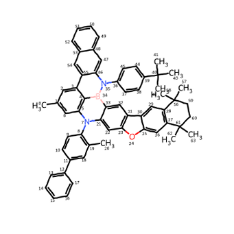 Cc1cc2c3c(c1)N(c1ccc(-c4ccccc4)cc1C)c1cc4oc5cc6c(cc5c4cc1B3N(c1ccc(C(C)(C)C)cc1)c1cc3ccccc3cc1-2)C(C)(C)CCC6(C)C